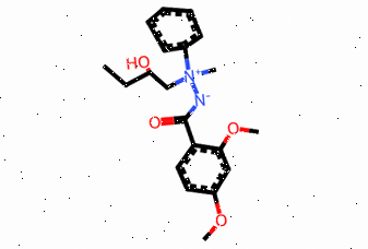 CCC(O)C[N+](C)([N-]C(=O)c1ccc(OC)cc1OC)c1ccccc1